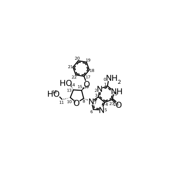 Nc1nc2c(ncn2[C@@H]2O[C@H](CO)[C@H](O)[C@H]2Oc2ccccc2)c(=O)[nH]1